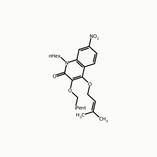 CCCCCCn1c(=O)c(OCC(C)CCC)c(OCC=C(C)C)c2ccc([N+](=O)[O-])cc21